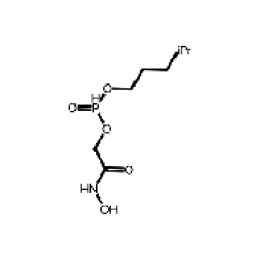 CC(C)CCCO[PH](=O)OCC(=O)NO